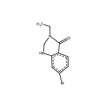 CCN1CNc2cc(Br)ccc2C1=O